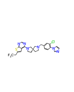 FC(F)(F)Cc1cc2c(N3CC[C@@]4(CCN(Cc5ccc(-n6ccnc6)c(Cl)c5)C4)C3)ncnc2s1